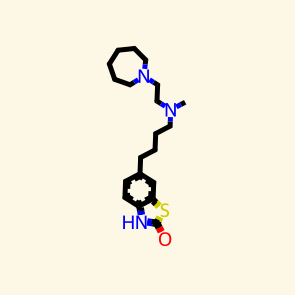 CN(CCCCc1ccc2[nH]c(=O)sc2c1)CCN1CCCCCC1